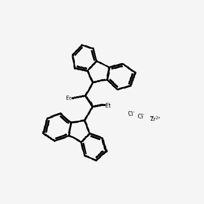 CCC(C1c2ccccc2-c2ccccc21)C(CC)C1c2ccccc2-c2ccccc21.[Cl-].[Cl-].[Zr+2]